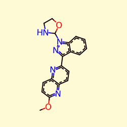 COc1ccc2nc(-c3nn(C4NCCO4)c4ccccc34)ccc2n1